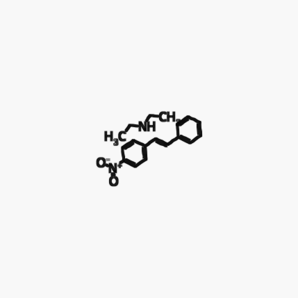 CCNCC.O=[N+]([O-])c1ccc(C=Cc2ccccc2)cc1